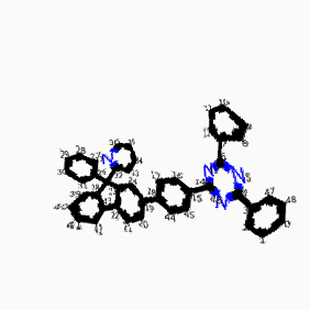 c1ccc(-c2nc(-c3ccccc3)nc(-c3ccc(-c4ccc5c(c4)C(c4ccccc4)(c4ccccn4)c4ccccc4-5)cc3)n2)cc1